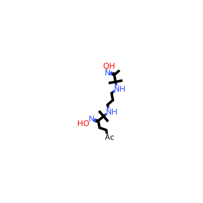 CC(=O)CC/C(=N\O)C(C)(C)NCCCNC(C)(C)/C(C)=N/O